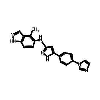 Cc1c(Nc2cc(-c3ccc(-n4ccnc4)cc3)[nH]n2)ccc2[nH]ncc12